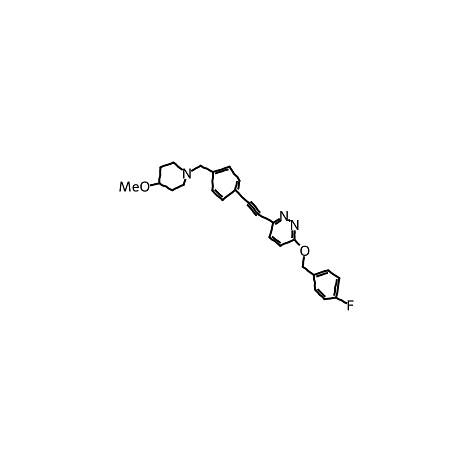 COC1CCN(Cc2ccc(C#Cc3ccc(OCc4ccc(F)cc4)nn3)cc2)CC1